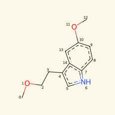 COCCc1c[nH]c2ccc(OC)cc12